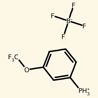 FC(F)(F)Oc1cccc([PH3+])c1.F[B-](F)(F)F